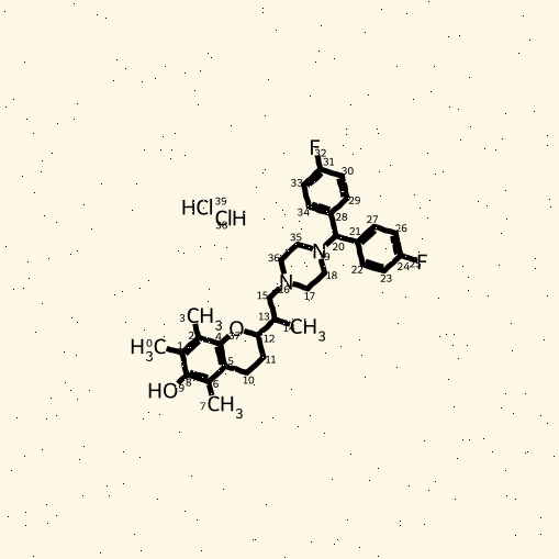 Cc1c(C)c2c(c(C)c1O)CCC(C(C)CN1CCN(C(c3ccc(F)cc3)c3ccc(F)cc3)CC1)O2.Cl.Cl